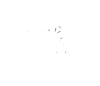 CCCCCC(=O)Oc1ccccc1OC(=O)CCCCC(C)(C)C